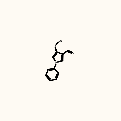 CCCCOc1cn(-c2ccccc2)cc1C=[N]